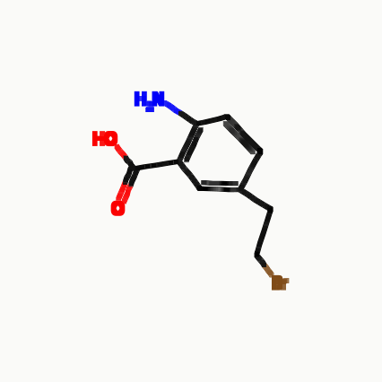 Nc1ccc(CCBr)cc1C(=O)O